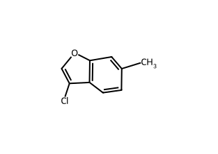 Cc1ccc2c(Cl)coc2c1